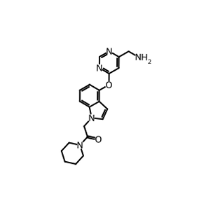 NCc1cc(Oc2cccc3c2ccn3CC(=O)N2CCCCC2)ncn1